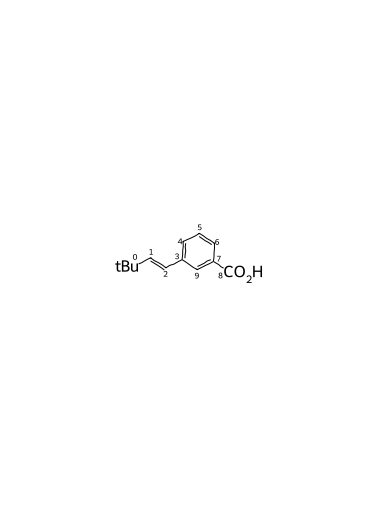 CC(C)(C)/C=C/c1cccc(C(=O)O)c1